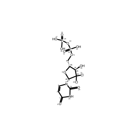 O=c1ccn([C@@H]2O[C@H](COP(=O)(O)OP(=O)(O)O)[C@@H](O)C2(Cl)Cl)c(=O)[nH]1